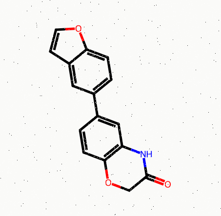 O=C1COc2ccc(-c3ccc4occc4c3)cc2N1